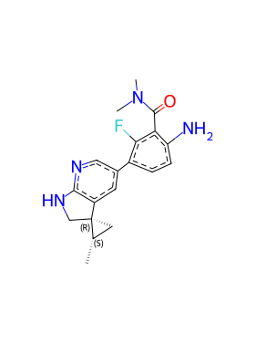 C[C@H]1C[C@@]12CNc1ncc(-c3ccc(N)c(C(=O)N(C)C)c3F)cc12